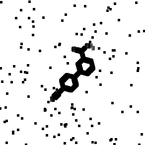 CC(=O)c1cc[c]c(-c2ccc(C#N)cc2)c1